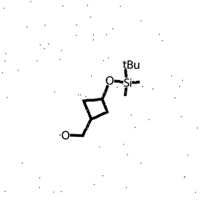 CC(C)(C)[Si](C)(C)OC1CC(C[O])C1